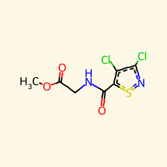 COC(=O)CNC(=O)c1snc(Cl)c1Cl